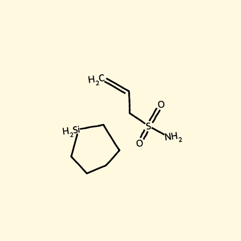 C1CC[SiH2]CC1.C=CCS(N)(=O)=O